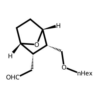 CCCCCCOC[C@@H]1[C@H](CC=O)[C@@H]2CC[C@H]1O2